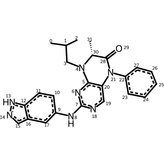 CC(C)CN1c2nc(Nc3ccc4[nH]ncc4c3)ncc2N(c2ccccc2)C(=O)[C@H]1C